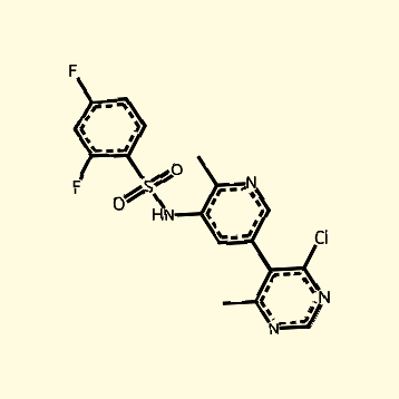 Cc1ncc(-c2c(C)ncnc2Cl)cc1NS(=O)(=O)c1ccc(F)cc1F